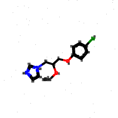 CCCCCCCCCCOC(COc1ccc(Br)cc1)Cn1ccnc1